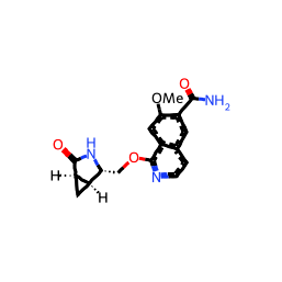 COc1cc2c(OC[C@H]3NC(=O)[C@@H]4C[C@H]34)nccc2cc1C(N)=O